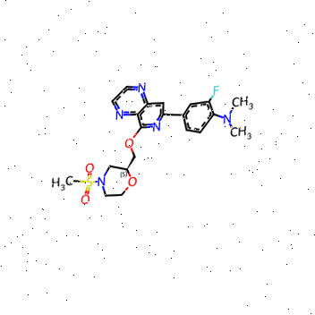 CN(C)c1ccc(-c2cc3nccnc3c(OC[C@@H]3CN(S(C)(=O)=O)CCO3)n2)cc1F